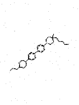 CCCCCC1(C)CCC(c2ccc(-c3ccc(C4CCC(CCC)CC4)cc3)cc2)CC1